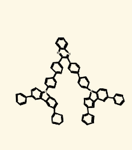 c1ccc(-c2ccc3c(c2)c2cc(-c4ccccc4)ccc2n3-c2ccc(-c3ccc(-c4nc5ccccc5nc4-c4ccc(-c5ccc(-n6c7ccc(-c8ccccc8)cc7c7cc(-c8ccccc8)ccc76)cc5)cc4)cc3)cc2)cc1